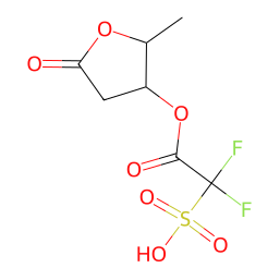 CC1OC(=O)CC1OC(=O)C(F)(F)S(=O)(=O)O